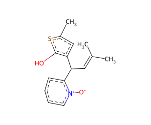 CC(C)=CC(c1cc(C)sc1O)c1cccc[n+]1[O-]